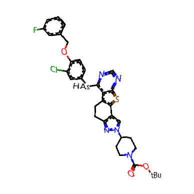 CC(C)(C)OC(=O)N1CCC(n2cc3c(n2)CCc2c-3sc3ncnc([AsH]c4ccc(OCc5cccc(F)c5)c(Cl)c4)c23)CC1